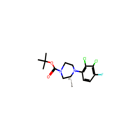 C[C@@H]1CN(C(=O)OC(C)(C)C)CCN1c1ccc(F)c(Cl)c1Cl